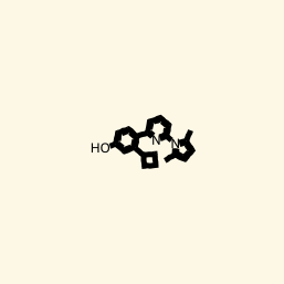 Cc1ccc(C)n1-c1cccc(-c2ccc(O)cc2C2CCC2)n1